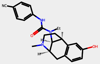 CCN(C(=O)Nc1ccc(C#N)cc1)[C@@H]1[C@H]2Cc3ccc(O)cc3[C@]1(C)CCN2C